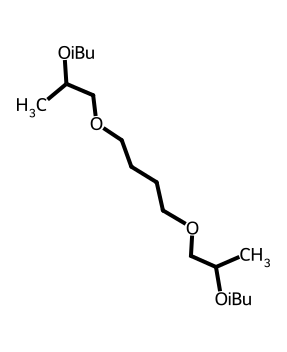 CC(C)COC(C)COCCCCOCC(C)OCC(C)C